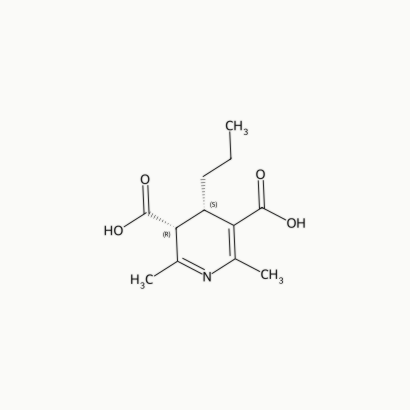 CCC[C@@H]1C(C(=O)O)=C(C)N=C(C)[C@@H]1C(=O)O